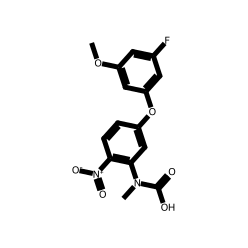 COc1cc(F)cc(Oc2ccc([N+](=O)[O-])c(N(C)C(=O)O)c2)c1